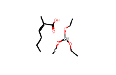 CCCC=C(C)C(=O)O.CCO[SiH](OCC)OCC